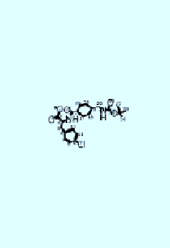 COC(=O)C(Cc1ccc(Cl)cc1)NC(=O)[C@H]1CC[C@H](CNC(=O)OC(C)(C)C)CC1